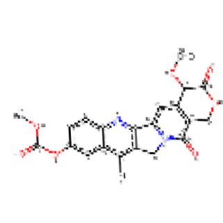 CCc1c2c(nc3ccc(OC(=O)OC(C)(C)C)cc13)-c1cc3c(c(=O)n1C2)COC(=O)C3OC=O